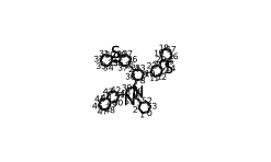 c1ccc(-c2nc(-c3cc(-c4ccc5sc6ccccc6c5c4)cc(-c4ccc5sc6ccccc6c5c4)c3)cc(-c3ccc4ccccc4c3)n2)cc1